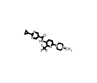 CN1CCN(c2ccc(NC(=O)c3cnc(C4CC4)nc3)c(C(F)(F)F)n2)CC1